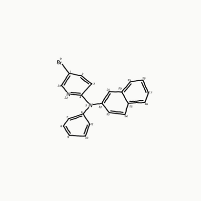 Brc1ccc(N(c2ccccc2)c2ccc3ccccc3c2)nc1